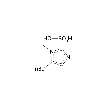 CCCCc1cncn1C.O=S(=O)(O)O